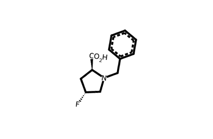 O=C(O)[C@@H]1C[C@@H](F)CN1Cc1ccccc1